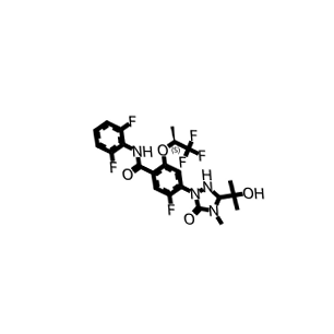 C[C@H](Oc1cc(N2NC(C(C)(C)O)N(C)C2=O)c(F)cc1C(=O)Nc1c(F)cccc1F)C(F)(F)F